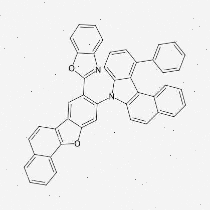 c1ccc(-c2cccc3c2c2c4ccccc4ccc2n3-c2cc3oc4c5ccccc5ccc4c3cc2-c2nc3ccccc3o2)cc1